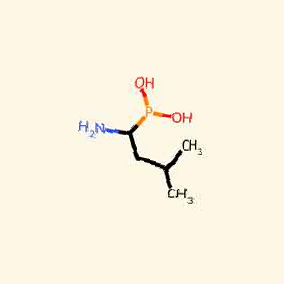 CC(C)CC(N)P(O)O